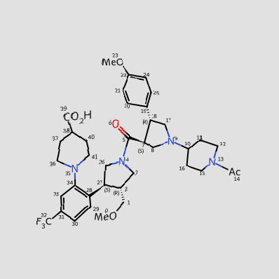 COC[C@H]1CN(C(=O)[C@@H]2CN(C3CCN(C(C)=O)CC3)C[C@H]2c2ccc(OC)cc2)C[C@@H]1c1ccc(C(F)(F)F)cc1N1CCC(C(=O)O)CC1